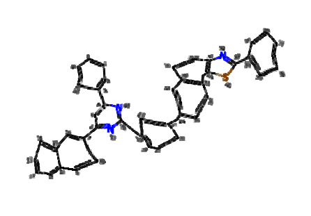 c1ccc(-c2cc(-c3ccc4ccccc4c3)nc(-c3cccc(-c4ccc5c(ccc6nc(-c7ccccc7)sc65)c4)c3)n2)cc1